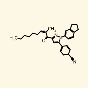 CCCCCC/C=C(/C)C(=O)c1cc(C2=CCC(C#N)C=C2)n(-c2ccc3c(c2)CCC3)n1